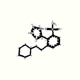 CS(=O)(=O)c1cccc(CCC2CCCCC2)c1-c1nnn[nH]1